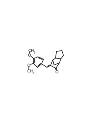 COc1ccc(C=C2C(=O)C3CC2C2CCCC32)cc1OC